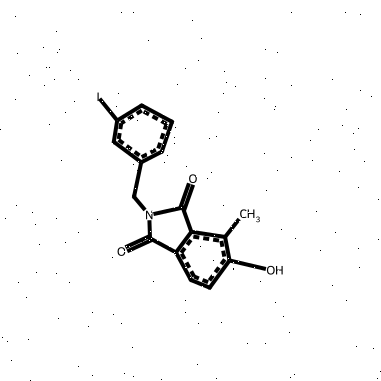 Cc1c(O)ccc2c1C(=O)N(Cc1cccc(I)c1)C2=O